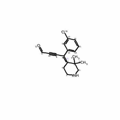 CC1(C)CNCC/C1=C(\C#CC=O)c1cccc(Cl)c1